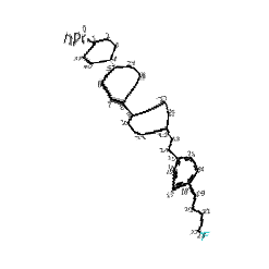 CCC[C@H]1CC[C@H](C2CCC(C3CCC(CCc4ccc(CCCCF)cc4)CC3)CC2)CC1